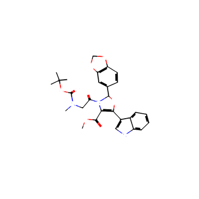 COC(=O)C1=C(c2c[nH]c3ccccc23)OC(c2ccc3c(c2)OCO3)N1C(=O)CN(C)C(=O)OC(C)(C)C